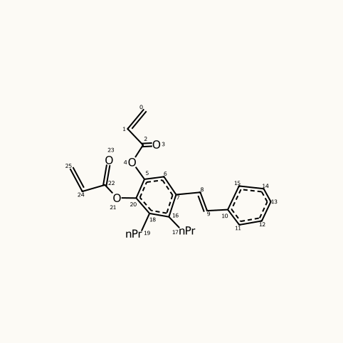 C=CC(=O)Oc1cc(C=Cc2ccccc2)c(CCC)c(CCC)c1OC(=O)C=C